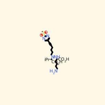 CC(C)[C@@H](C(=O)O)N(CCCCC#Cc1cnc(S(C)(=O)=O)nc1)N[C@@H](CCCCN)C(=O)O